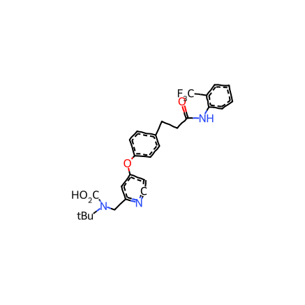 CC(C)(C)N(Cc1cc(Oc2ccc(CCC(=O)Nc3ccccc3C(F)(F)F)cc2)ccn1)C(=O)O